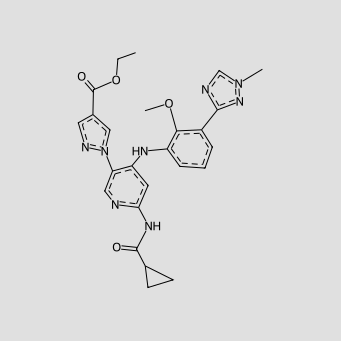 CCOC(=O)c1cnn(-c2cnc(NC(=O)C3CC3)cc2Nc2cccc(-c3ncn(C)n3)c2OC)c1